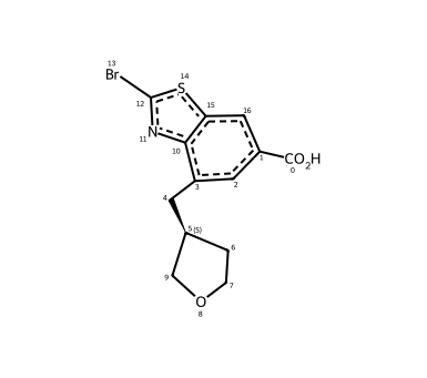 O=C(O)c1cc(C[C@H]2CCOC2)c2nc(Br)sc2c1